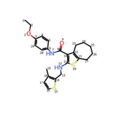 CCOc1ccc(NC(=O)c2c(NCc3sccc3C)sc3c2CCCCC3)cc1